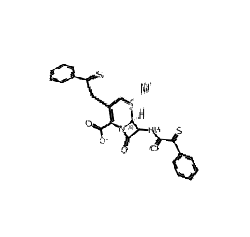 O=C([O-])C1=C(CC(=S)c2ccccc2)CS[C@H]2C(NC(=O)C(=S)c3ccccc3)C(=O)N12.[Na+]